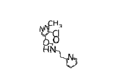 Cn1ncc(OC(=O)NCCc2ccccn2)c1Cl